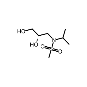 CC(C)N(C[C@H](O)CO)S(C)(=O)=O